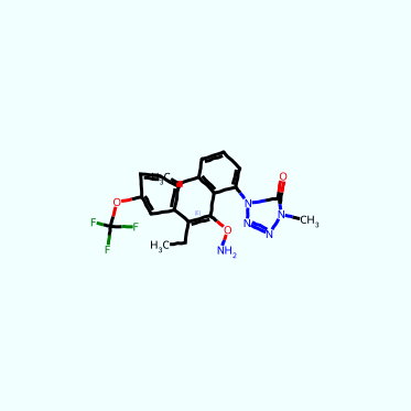 CC/C(=C(\ON)c1c(CC)cccc1-n1nnn(C)c1=O)c1cccc(OC(F)(F)F)c1